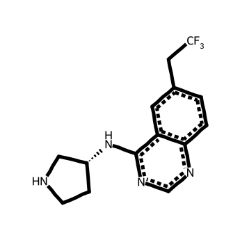 FC(F)(F)Cc1ccc2ncnc(N[C@@H]3CCNC3)c2c1